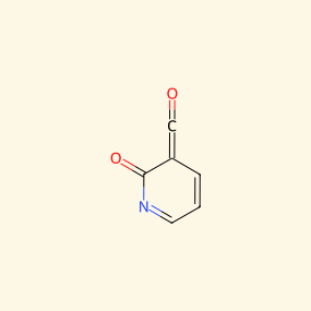 O=C=C1C=CC=NC1=O